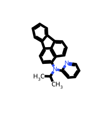 CC(C)N(c1ccccn1)c1ccc2c3c(cccc13)-c1ccccc1-2